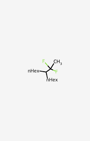 CCCCCCC(CCCCCC)C(C)(F)F